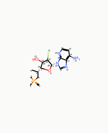 C=P(C)(C)CC(C)[C@H]1O[C@@H](n2cnc3c(N)ccnc32)[C@H](F)[C@@H]1O